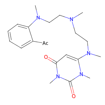 CC(=O)c1ccccc1N(C)CCN(C)CCN(C)c1cc(=O)n(C)c(=O)n1C